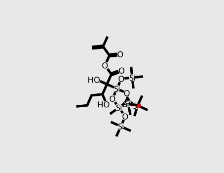 C=C(C)C(=O)OC(=O)C(O)(C(O)CCC)[Si](O[Si](C)(C)C)(O[Si](C)(C)C)O[Si](C)(O[Si](C)(C)C)O[Si](C)(C)C